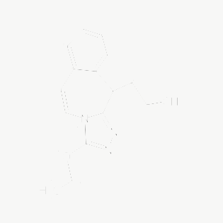 CCCC1c2ccccc2C=Cn2c(OCC)nnc21